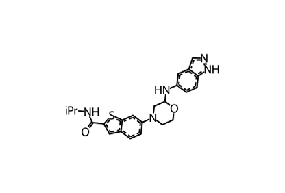 CC(C)NC(=O)c1cc2ccc(N3CCOC(Nc4ccc5[nH]ncc5c4)C3)cc2s1